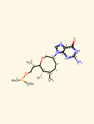 CC[C@@H]1C([C@@H](C)COP(OC)OC)OC[C@@H](n2cnc3c(=O)[nH]c(N)nc32)CC[C@H]1C